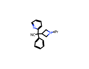 CC(C)N1CC(C(C#N)(c2ccccc2)c2ccccn2)C1